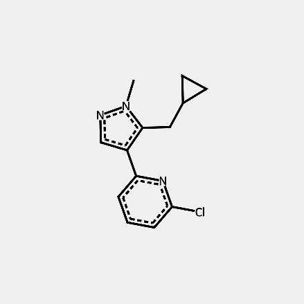 Cn1ncc(-c2cccc(Cl)n2)c1CC1CC1